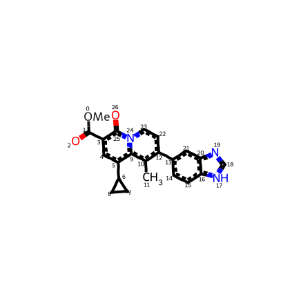 COC(=O)c1cc(C2CC2)c2c(C)c(-c3ccc4[nH]cnc4c3)ccn2c1=O